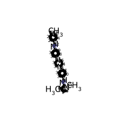 Cn1cc[n+](C)c1/N=N/c1ccc(N2CCN(c3ccc(/N=N/c4cc[n+](C)cc4)cc3)CC2)cc1